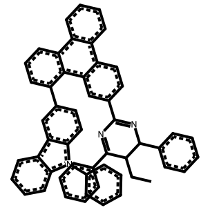 CCC1C(c2ccccc2)=NC(c2ccc3c4ccccc4c4cccc(-c5ccc6c(c5)c5ccccc5n6-c5ccccc5)c4c3c2)=NC1c1ccccc1